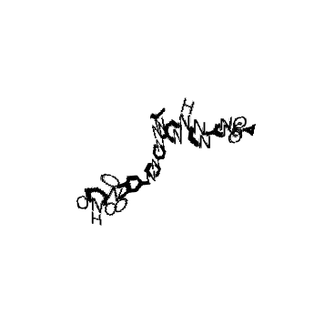 CC(C)n1nc(N2CCC(N3CCN(Cc4ccc5c(c4)C(=O)N(C4CCC(=O)NC4=O)C5=O)CC3)CC2)c2cnc(Nc3ccnc(-c4cnn(S(=O)(=O)C5CC5)c4)n3)cc21